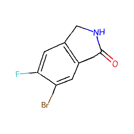 O=C1NCc2cc(F)c(Br)cc21